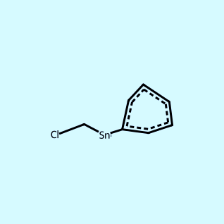 Cl[CH2][Sn][c]1ccccc1